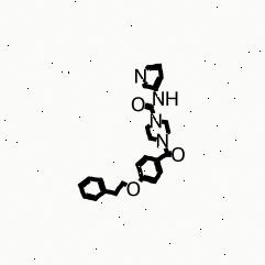 O=C(Nc1cccnc1)N1CCN(C(=O)c2ccc(OCCc3ccccc3)cc2)CC1